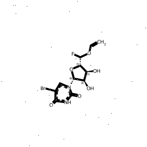 C=COC(F)[C@H]1O[C@@H](n2cc(Br)c(=O)[nH]c2=O)[C@H](O)[C@@H]1O